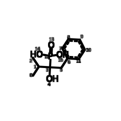 CC(C)C(O)(Cc1ccccc1)P(=O)(O)O